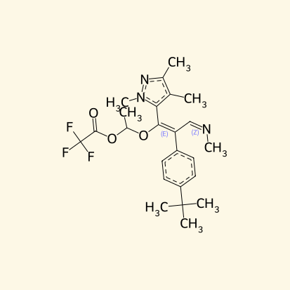 C/N=C\C(=C(\OC(C)OC(=O)C(F)(F)F)c1c(C)c(C)nn1C)c1ccc(C(C)(C)C)cc1